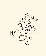 CC[C@H](c1ccc(Cl)c(Cl)c1)[C@H]1O[C@@H]2OC(C)(C)O[C@@H]2C1(C)C